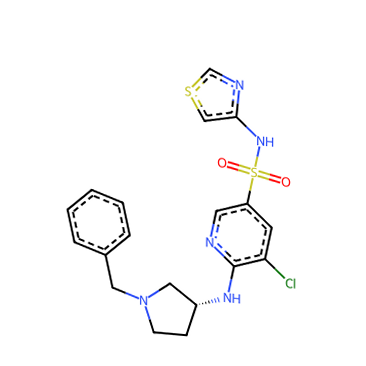 O=S(=O)(Nc1cscn1)c1cnc(N[C@@H]2CCN(Cc3ccccc3)C2)c(Cl)c1